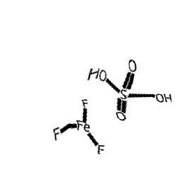 O=S(=O)(O)O.[F][Fe]([F])[F]